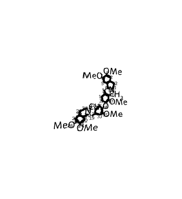 COc1cc2c(cc1OC)[C@@H](Cc1ccc(Oc3ccc(C[C@@H]4c5cc(OC)c(OC)cc5CCN4C)cc3OC)c(OC)c1)N(C)CC2